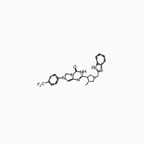 CC1CN(Cc2nc3ccccc3[nH]2)CC1C1=NC2=CN(c3ccc(C(F)(F)F)cc3)CN2C(=O)N1